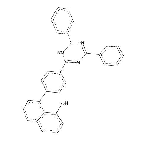 Oc1cccc2cccc(-c3ccc(C4=NC(c5ccccc5)=NC(c5ccccc5)N4)cc3)c12